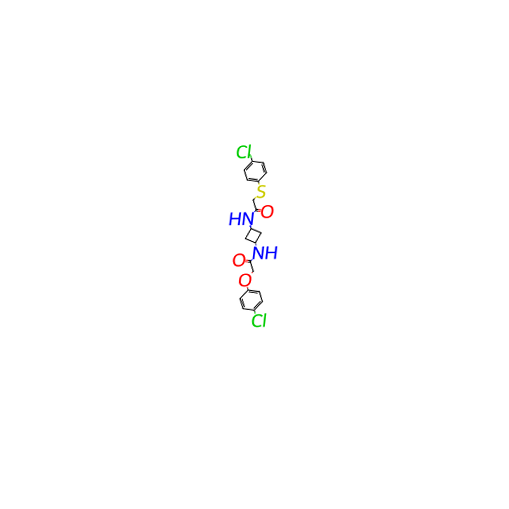 O=C(COc1ccc(Cl)cc1)N[C@H]1C[C@H](NC(=O)CSc2ccc(Cl)cc2)C1